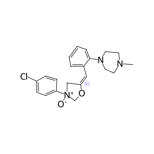 CN1CCN(c2ccccc2/C=C2\C[N+]([O-])(c3ccc(Cl)cc3)CO2)CC1